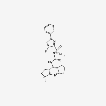 C[C@@H]1CCc2c1nc1c(c2NC(=O)N=[S@](N)(=O)c2nn(-c3ccccc3)cc2F)CCC1